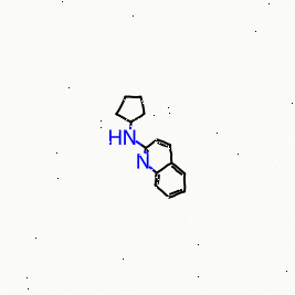 c1ccc2nc(NC3CCCC3)ccc2c1